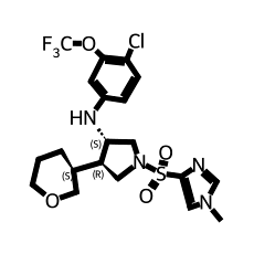 Cn1cnc(S(=O)(=O)N2C[C@@H]([C@@H]3CCCOC3)[C@H](Nc3ccc(Cl)c(OC(F)(F)F)c3)C2)c1